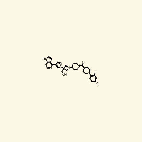 N#CCC1(n2cc(-c3ncnc4[nH]ccc34)cn2)CN(C2CCN(C(=O)C3CCN(c4ncc(Cl)cc4F)CC3)CC2)C1